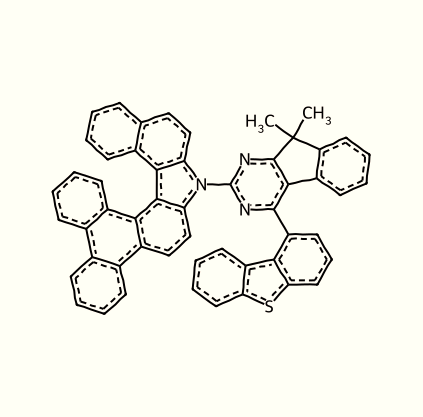 CC1(C)c2ccccc2-c2c(-c3cccc4sc5ccccc5c34)nc(-n3c4ccc5ccccc5c4c4c5c6ccccc6c6ccccc6c5ccc43)nc21